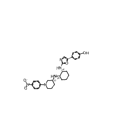 O=[N+]([O-])c1ccc(N2CCC[C@H](N[C@@H]3CCCC[C@H]3Nc3ncc(-c4ccc(O)cc4)o3)C2)cc1